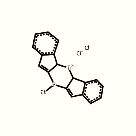 CCP1C2=Cc3ccccc3[CH]2[Ti+2][CH]2C1=Cc1ccccc12.[Cl-].[Cl-]